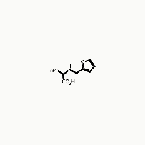 CCCC(NCc1ccco1)C(=O)O